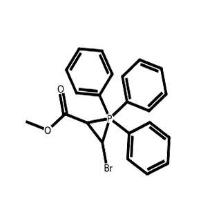 COC(=O)C1C(Br)P1(c1ccccc1)(c1ccccc1)c1ccccc1